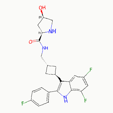 O=C(NC[C@H]1C[C@H](c2c(-c3ccc(F)cc3)[nH]c3c(F)cc(F)cc32)C1)[C@H]1C[C@@H](O)CN1